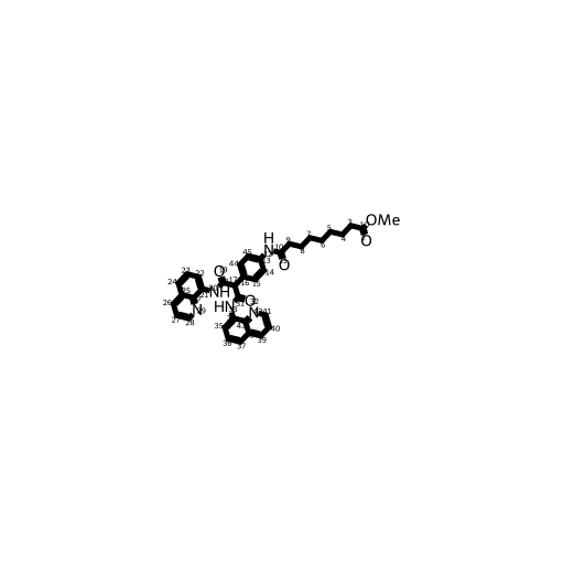 COC(=O)CCCCCCCC(=O)Nc1ccc(C(C(=O)Nc2cccc3cccnc23)C(=O)Nc2cccc3cccnc23)cc1